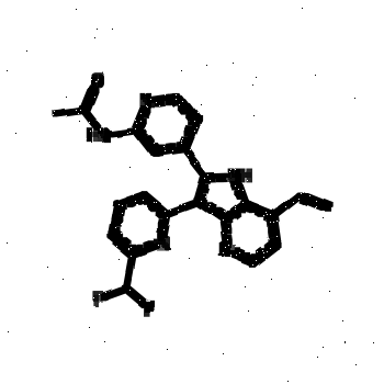 C=Cc1ccnc2c(-c3cccc(C(F)F)n3)c(-c3ccnc(NC(C)=O)c3)[nH]c12